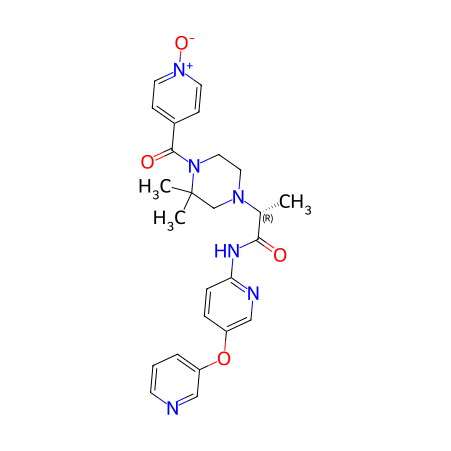 C[C@H](C(=O)Nc1ccc(Oc2cccnc2)cn1)N1CCN(C(=O)c2cc[n+]([O-])cc2)C(C)(C)C1